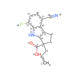 C=CCC1(C(=O)O)CCc2c1[nH]c1c(F)ccc(C#N)c21